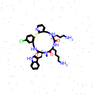 CN1C(=O)C(CCCCN)NC(=O)[C@H](CCCN)NCc2cccnc2Sc2ccc(Cl)cc2CNC(=O)[C@@H]1Cc1c[nH]c2ccccc12